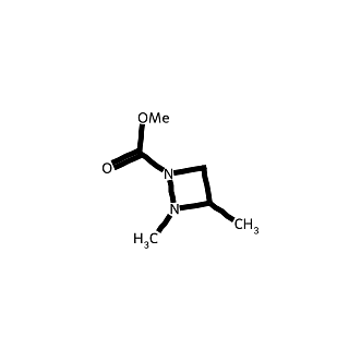 COC(=O)N1CC(C)N1C